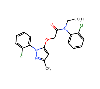 O=C(O)CN(C(=O)COc1cc(C(F)(F)F)nn1-c1ccccc1Cl)c1ccccc1Cl